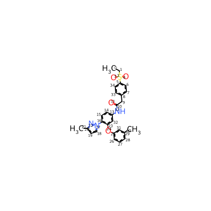 CCS(=O)(=O)c1ccc(CC(=O)Nc2ccc(-n3ccc(C)n3)c(Oc3cccc(C)c3)c2)cc1